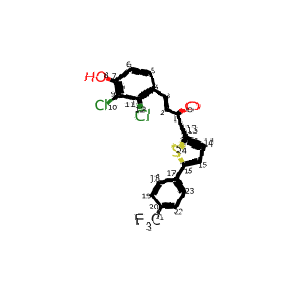 O=C(/C=C/c1ccc(O)c(Cl)c1Cl)c1ccc(-c2ccc(C(F)(F)F)cc2)s1